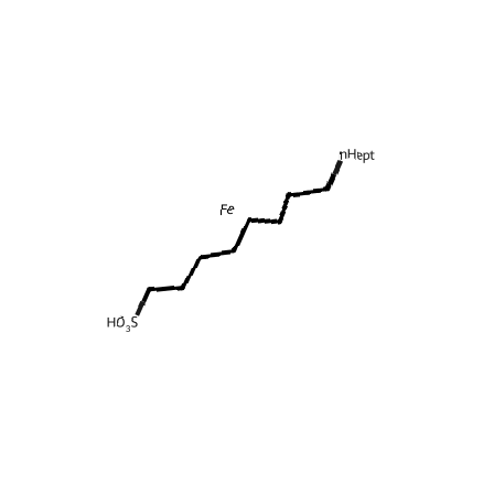 CCCCCCCCCCCCCCCS(=O)(=O)O.[Fe]